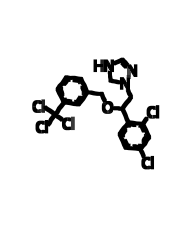 Clc1ccc(C(CN2CNC=N2)OCc2cccc(C(Cl)(Cl)Cl)c2)c(Cl)c1